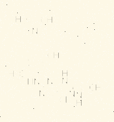 Cc1cc(Nc2nc(Nc3cc(C)c(C4CCN(C(C)C)CC4)cc3C)ncc2Cl)n[nH]1